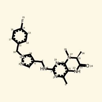 Cc1nc(NCc2cnn(Cc3ccc(F)cc3)c2)nc2c1NC(=O)[C@H](C)N2C